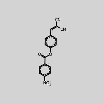 N#CC(C#N)=Cc1ccc(OC(=O)c2ccc([N+](=O)[O-])cc2)cc1